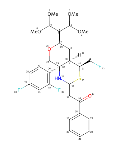 COC(OC)C(C(OC)OC)[C@H]1C[C@H]2[C@@H](CF)SC(CC(=O)c3ccccc3)N[C@@]2(c2ccc(F)cc2F)CO1